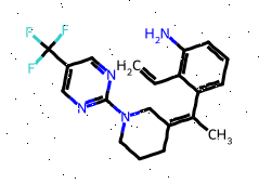 C=Cc1c(N)cccc1/C(C)=C1/CCCN(c2ncc(C(F)(F)F)cn2)C1